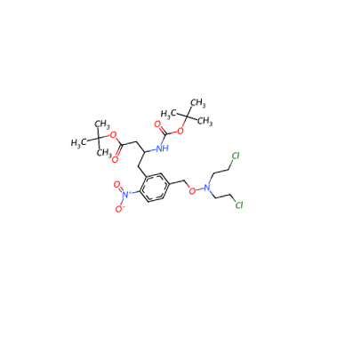 CC(C)(C)OC(=O)CC(Cc1cc(CON(CCCl)CCCl)ccc1[N+](=O)[O-])NC(=O)OC(C)(C)C